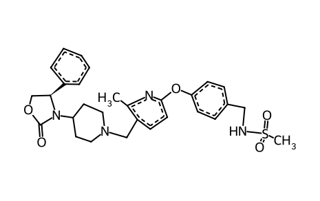 Cc1nc(Oc2ccc(CNS(C)(=O)=O)cc2)ccc1CN1CCC(N2C(=O)OC[C@H]2c2ccccc2)CC1